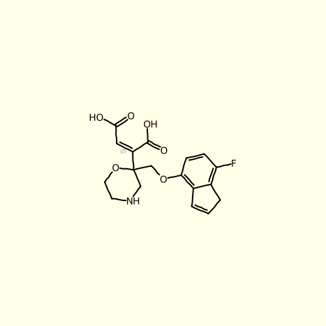 O=C(O)/C=C(\C(=O)O)C1(COc2ccc(F)c3c2C=CC3)CNCCO1